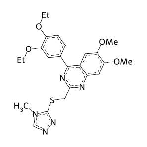 CCOc1ccc(-c2nc(CSc3nncn3C)nc3cc(OC)c(OC)cc23)cc1OCC